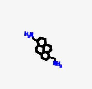 NCc1ccc2ccc3c(CN)ccc4ccc1c2c43